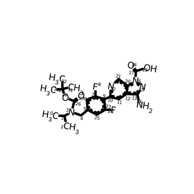 CC(C)N(Cc1cc(F)c(-c2cc3c(N)nn(C(=O)O)c3cn2)c(F)c1)C(=O)OC(C)(C)C